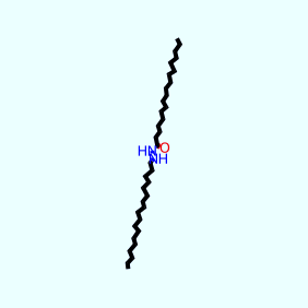 CCCCCCCCCCCCCCCCCCNNC(=O)CCCCCCCCCCCCCCCCC